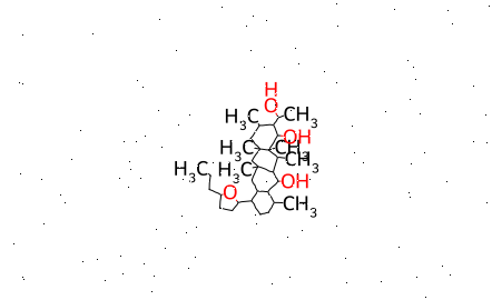 CCCC1CCC(C2CCC(C)C3C(O)C4C(C)C5(C)C(O)C(C(C)O)C(C)CC5(C)CC4(C)CC23)O1